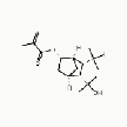 C=C(C)C(=O)O[C@H]1C[C@H]2C[C@@H]1[C@H](C(C)(C)I)[C@@H]2C(C)(C)O